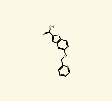 O=C(O)c1cc2cc(OCc3ccccn3)ccc2s1